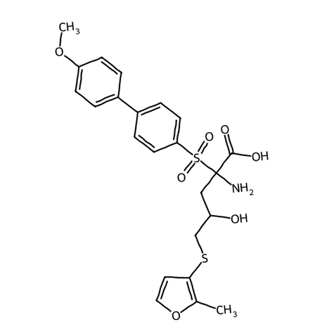 COc1ccc(-c2ccc(S(=O)(=O)C(N)(CC(O)CSc3ccoc3C)C(=O)O)cc2)cc1